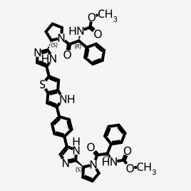 COC(=O)N[C@@H](C(=O)N1CC=C[C@H]1c1ncc(-c2ccc(-c3cc4sc(-c5cnc([C@@H]6CCCN6C(=O)[C@H](NC(=O)OC)c6ccccc6)[nH]5)cc4[nH]3)cc2)[nH]1)c1ccccc1